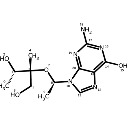 C[C@H](O)[C@@](C)(CO)O[C@H](C)n1cnc2c(O)nc(N)nc21